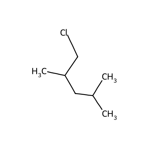 CC(C)CC(C)CCl